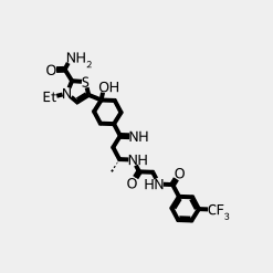 CCN1C=C(C2(O)CCC(C(=N)C[C@@H](C)NC(=O)CNC(=O)c3cccc(C(F)(F)F)c3)CC2)SC1C(N)=O